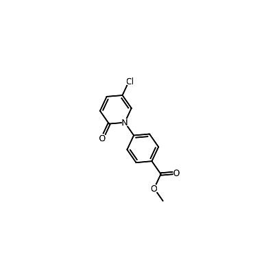 COC(=O)c1ccc(-n2cc(Cl)ccc2=O)cc1